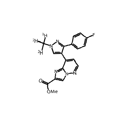 [2H]C([2H])([2H])n1cc(-c2ccnn3cc(C(=O)OC)nc23)c(-c2ccc(F)cc2)n1